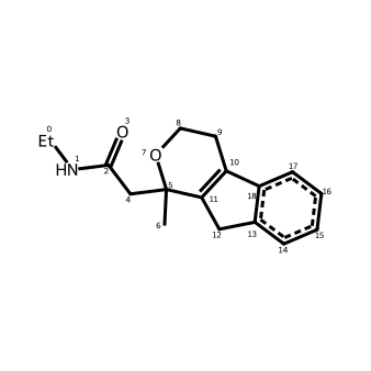 CCNC(=O)CC1(C)OCCC2=C1Cc1ccccc12